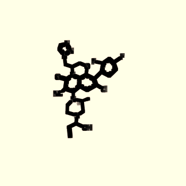 C=CC(O)N1CCN(c2c(C#N)c(=O)n3c4c(c(-c5ccc(F)cc5F)c(Cl)cc24)OCC3Cn2ccnn2)[C@@H](C)C1